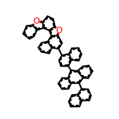 c1ccc2c(-c3c4ccccc4c(-c4ccc(-c5cc6oc7ccc8oc9ccccc9c8c7c6c6ccccc56)c5ccccc45)c4ccccc34)cccc2c1